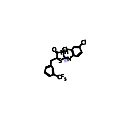 O=C1N/C(=N\c2ccc(Cl)cc2Cl)SC1Cc1cccc(C(F)(F)F)c1